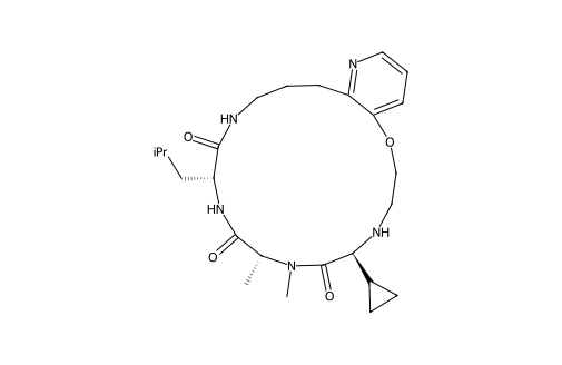 CC(C)C[C@H]1NC(=O)[C@@H](C)N(C)C(=O)[C@H](C2CC2)NCCOc2cccnc2CCCNC1=O